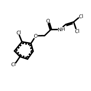 O=C(COc1ccc(Cl)cc1Cl)NC=C(Cl)Cl